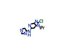 CC(C)n1c(Cl)nc2cnc(Nc3ccncn3)cc21